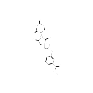 COC(=O)c1cccc(CN2CC3(CC(=O)N(C4CCC(=O)NC4=O)C3=O)C2)c1